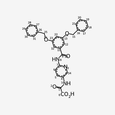 O=C(O)C(=O)Nc1ccc(NC(=O)c2cc(OCc3ccccc3)cc(OCc3ccccc3)c2)nc1